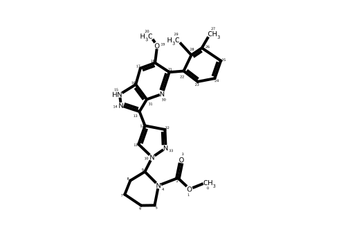 COC(=O)N1CCCCC1n1cc(-c2n[nH]c3cc(OC)c(-c4cccc(C)c4C)nc23)cn1